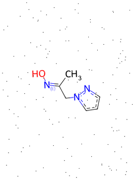 C/C(Cn1cccn1)=N\O